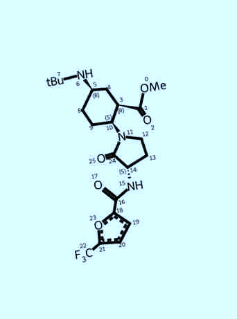 COC(=O)[C@@H]1C[C@H](NC(C)(C)C)CC[C@@H]1N1CC[C@H](NC(=O)c2ccc(C(F)(F)F)o2)C1=O